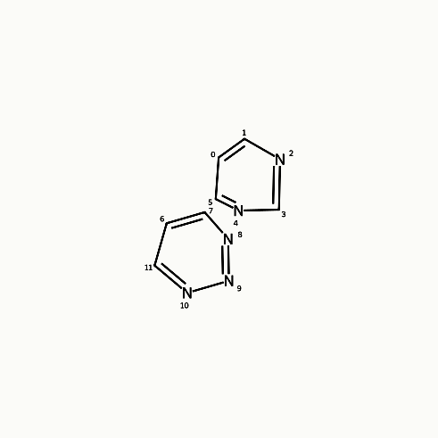 c1cncnc1.c1cnnnc1